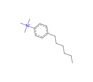 CCCCCCc1ccc([N+](C)(C)C)cc1